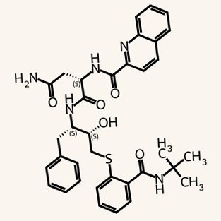 CC(C)(C)NC(=O)c1ccccc1SC[C@@H](O)[C@H](Cc1ccccc1)NC(=O)[C@H](CC(N)=O)NC(=O)c1ccc2ccccc2n1